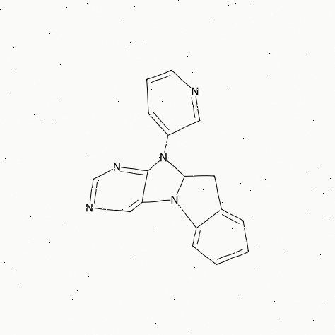 c1cncc(N2c3ncncc3N3c4ccccc4CC32)c1